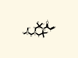 C=CC(=O)N1C(C)(C)CN(CN(C)C)CC1(C)C